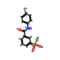 O=C(Nc1ccc(F)cc1)c1cccc(S(=O)(=O)Cl)c1